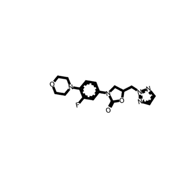 O=C1OC(Cn2nccn2)CN1c1ccc(N2CCOCC2)c(F)c1